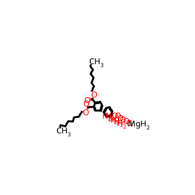 CCCCCCCCOC(=O)c1ccccc1C(=O)OCCCCCCCC.O.O.O.O.O.O.[MgH2].c1ccccc1